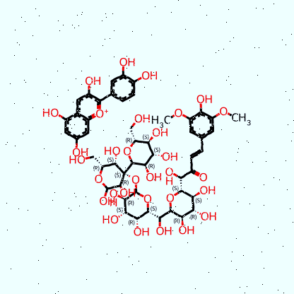 COc1cc(C=CC(=O)C(O)[C@H]2OC(C(O)[C@H]3OC(O[C@]4(C5O[C@H](CO)[C@@H](O)[C@H](O)[C@H]5O)[C@@H](O)C(O)O[C@H](CO)[C@@H]4O)[C@H](O)[C@@H](O)[C@H]3O)[C@H](O)[C@@H](O)[C@@H]2O)cc(OC)c1O.Oc1cc(O)c2cc(O)c(-c3ccc(O)c(O)c3)[o+]c2c1